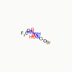 O=C(CNC(=O)c1cccc(C(F)(F)F)c1)N[C@H]1CN(C2CCC(c3ccc(Br)cc3)CC2)C[C@H]1O